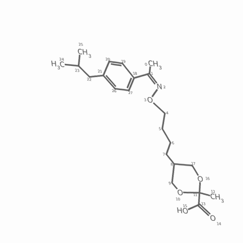 C/C(=N/OCCCCC1COC(C)(C(=O)O)OC1)c1ccc(CC(C)C)cc1